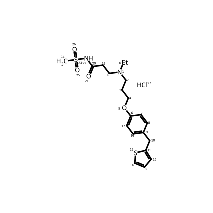 CCN(CCCOc1ccc(Cc2cccs2)cc1)CCC(=O)NS(C)(=O)=O.Cl